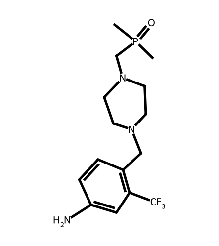 CP(C)(=O)CN1CCN(Cc2ccc(N)cc2C(F)(F)F)CC1